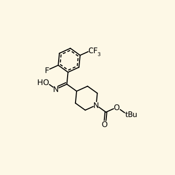 CC(C)(C)OC(=O)N1CCC(C(=NO)c2cc(C(F)(F)F)ccc2F)CC1